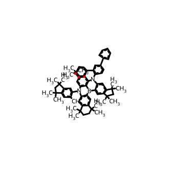 Cc1cc2c(cc1N1c3cc4c(cc3B3c5cc6c(cc5N(c5ccc(-c7ccccc7)cc5-c5ccccc5)c5cc(C(C)(C)C)cc1c53)C(C)(C)CC6(C)C)C(C)(C)CCC4(C)C)C(C)(C)CC2(C)C